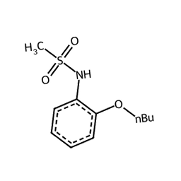 CCCCOc1ccccc1NS(C)(=O)=O